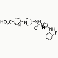 O=C(O)c1ccc(N2CCC(NC(=O)n3ccc(Nc4ccccc4F)n3)CC2)nc1